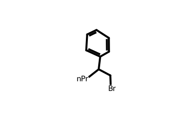 CCCC(CBr)c1ccccc1